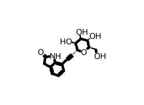 O=C1Cc2cccc(C#C[C@H]3O[C@H](CO)[C@@H](O)[C@H](O)[C@@H]3O)c2N1